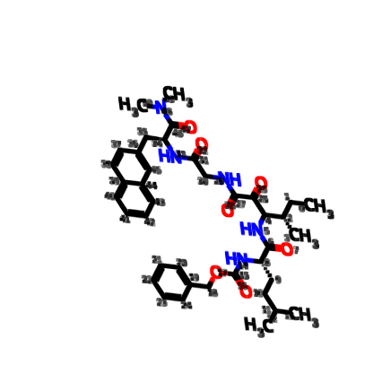 CC[C@H](C)C(NC(=O)[C@H](CCC(C)C)NC(=O)OCc1ccccc1)C(=O)C(=O)NCC(=O)N[C@@H](Cc1ccc2ccccc2c1)C(=O)N(C)C